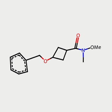 CON(C)C(=O)C1CC(OCc2ccccc2)C1